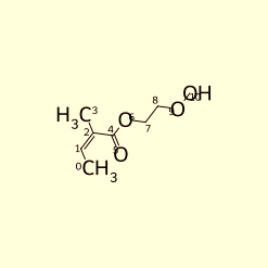 CC=C(C)C(=O)OCCOO